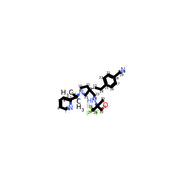 CC(C)(c1ccccn1)N1CC[C@@](CCc2ccc(C#N)cc2)(CNC2(C(F)(F)F)COC2)C1